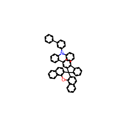 c1ccc(-c2cccc(N(c3ccccc3)c3ccccc3-c3ccc4c(c3)C3(c5ccccc5-4)c4ccc5ccccc5c4Oc4c3ccc3ccccc43)c2)cc1